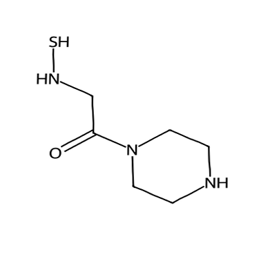 O=C(CNS)N1CCNCC1